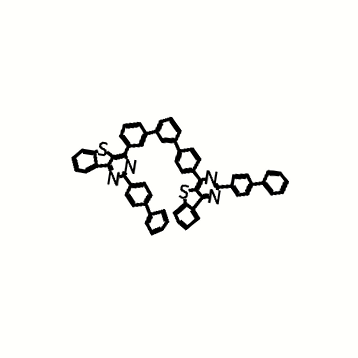 c1ccc(-c2ccc(-c3nc(-c4ccc(-c5cccc(-c6cccc(-c7nc(-c8ccc(-c9ccccc9)cc8)nc8c7sc7ccccc78)c6)c5)cc4)c4sc5ccccc5c4n3)cc2)cc1